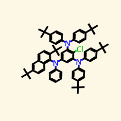 CC(C)(C)c1ccc(N(c2ccc(C(C)(C)C)cc2)c2cc(N(c3ccccc3)c3c(C(C)(C)C)ccc4cc(C(C)(C)C)ccc34)cc(N(c3ccc(C(C)(C)C)cc3)c3ccc(C(C)(C)C)cc3)c2Cl)cc1